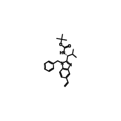 C=Cc1ccc2c(c1)nc([C@H](NC(=O)OC(C)(C)C)C(C)C)n2Cc1ccccc1